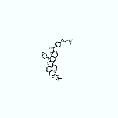 Cc1cccc2c1N(C(=O)OC(C)(C)C)CCN2c1cc2cnc(Nc3ccc(OCCN(C)C)cc3)nc2n(C2CCOC2)c1=O